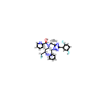 CC(C)(C)[C@H](c1nc(-c2cc(F)ccc2F)nn1Cc1ccccc1)N(CCC(N)CF)C(=O)c1ccccn1